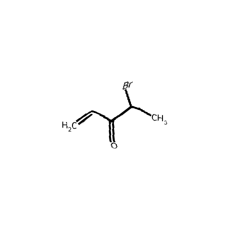 C=CC(=O)C(C)Br